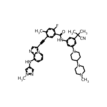 Cc1cc(F)c(C(=O)Nc2cc(N3CCC(N4CCN(C)CC4)CC3)cc(C(C)(C)C#N)c2)cc1C#Cc1cnc2c(Nc3cnn(C)c3)cccn12